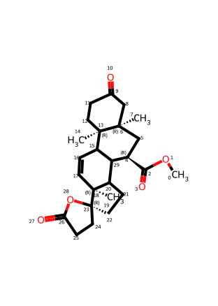 COC(=O)[C@@H]1C[C@]2(C)CC(=O)CC[C@]2(C)C2C=C[C@@]3(C)C(CC[C@@]34CCC(=O)O4)C21